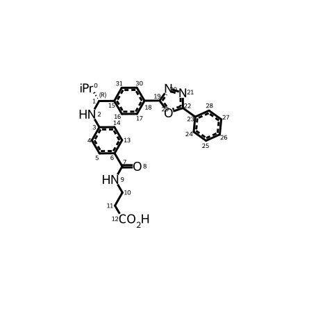 CC(C)[C@@H](Nc1ccc(C(=O)NCCC(=O)O)cc1)c1ccc(-c2nnc(-c3ccccc3)o2)cc1